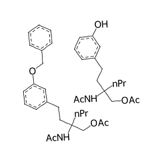 CCCC(CCc1cccc(O)c1)(COC(C)=O)NC(C)=O.CCCC(CCc1cccc(OCc2ccccc2)c1)(COC(C)=O)NC(C)=O